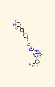 Cc1cc(-c2cnc(Nc3cnn([C@H]4C[C@@H](CCN5CCN(c6ccc(C7CCC(=O)NC7=O)cc6)CC5)C4)c3)c3nccn23)c(F)cc1F